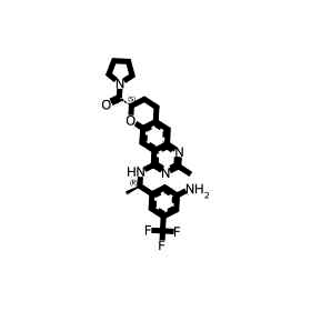 Cc1nc(N[C@H](C)c2cc(N)cc(C(F)(F)F)c2)c2cc3c(cc2n1)CC[C@@H](C(=O)N1CCCC1)O3